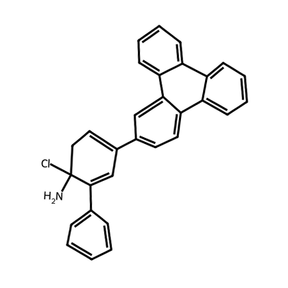 NC1(Cl)CC=C(c2ccc3c4ccccc4c4ccccc4c3c2)C=C1c1ccccc1